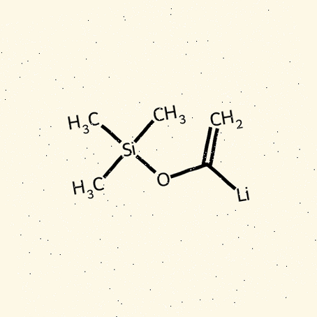 [Li][C](=C)O[Si](C)(C)C